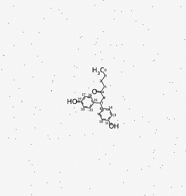 CCCCC(=O)CC(c1ccc(O)cc1)c1ccc(O)cc1